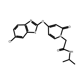 CC(C)NC(=O)Cn1ccc(Oc2nc3ccc(Cl)cc3s2)cc1=O